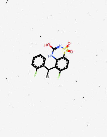 CCC(c1ccccc1F)c1c(F)ccc2c1NC(O)=NS2(=O)=O